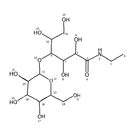 CCNC(=O)C(O)C(O)C(OC1OC(CO)C(O)C(O)C1O)C(O)CO